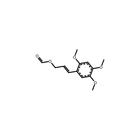 COc1cc(OC)c(OC)cc1/C=C/COC=O